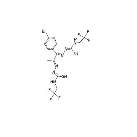 CC(=N\N=C(/S)NCC(F)(F)F)/C(=N/N=C(\S)NCC(F)(F)F)c1ccc(Br)cc1